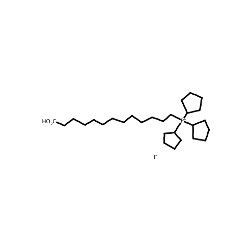 O=C(O)CCCCCCCCCCCC[P+](C1CCCC1)(C1CCCC1)C1CCCC1.[I-]